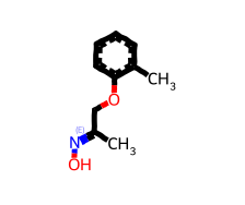 C/C(COc1ccccc1C)=N\O